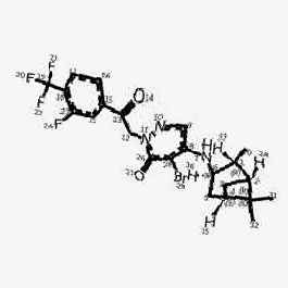 C[C@@H]1[C@H]2C[C@@H](C[C@H]1Nc1cnn(CC(=O)c3ccc(C(F)(F)F)c(F)c3)c(=O)c1Br)C2(C)C